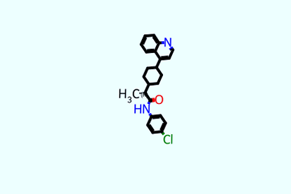 C[C@@H](C(=O)Nc1ccc(Cl)cc1)C1CCC(c2ccnc3ccccc23)CC1